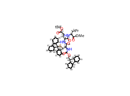 COC(=O)[C@H](CC(C)C)NC(=O)[C@H](CCC(=O)OC(C)(C)C)NC(=O)[C@H](CSC(c1ccccc1)(c1ccccc1)c1ccccc1)NC(=O)OCC1c2ccccc2-c2ccccc21